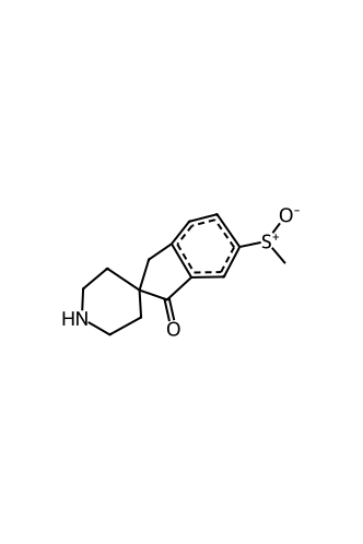 C[S+]([O-])c1ccc2c(c1)C(=O)C1(CCNCC1)C2